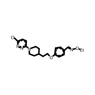 CCON=Cc1ccc(OCCC2CCN(c3ccc(Cl)nn3)CC2)cc1